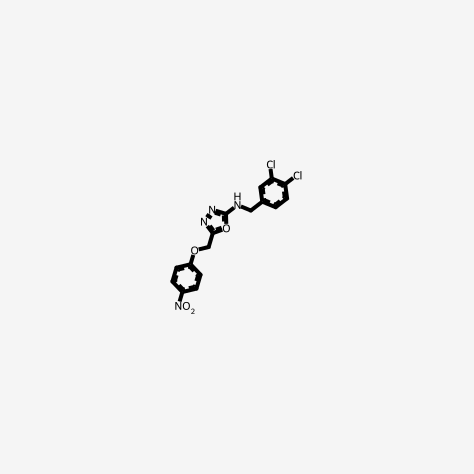 O=[N+]([O-])c1ccc(OCc2nnc(NCc3ccc(Cl)c(Cl)c3)o2)cc1